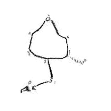 CC(=O)S[C@H]1CCOC[C@@H]1C